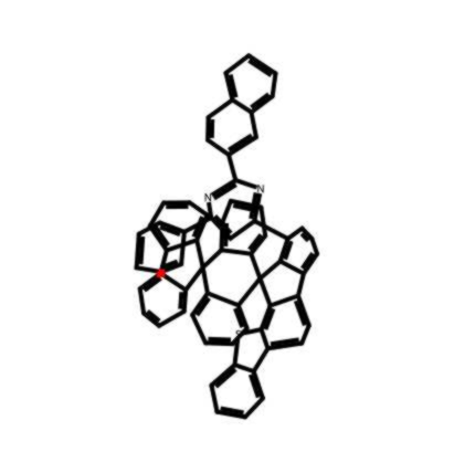 c1ccc(-c2cc(-c3cccc4c3C3(c5ccccc5C5(c6ccccc6-c6ccccc65)c5ccccc53)c3c-4ccc4c3sc3ccccc34)nc(-c3ccc4ccccc4c3)n2)cc1